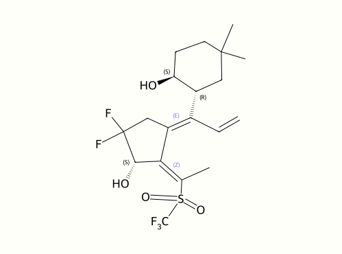 C=C/C(=C1/CC(F)(F)[C@@H](O)/C1=C(/C)S(=O)(=O)C(F)(F)F)[C@H]1CC(C)(C)CC[C@@H]1O